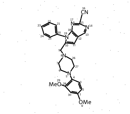 COc1ccc(N2CCN(Cc3cc4cnc(C#N)nc4n3-c3ccccc3)CC2)c(OC)c1